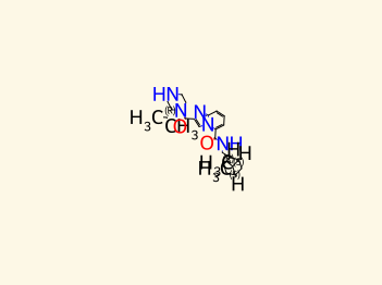 CC(C)[C@@H]1CNCCN1C(=O)c1cn2c(C(=O)NC[C@@H]3CC[C@H]4C[C@@H]3C4(C)C)cccc2n1